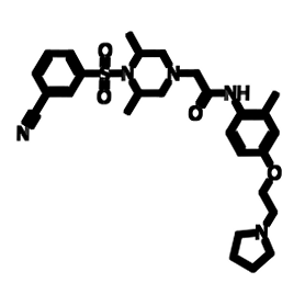 Cc1cc(OCCN2CCCC2)ccc1NC(=O)CN1CC(C)N(S(=O)(=O)c2cccc(C#N)c2)C(C)C1